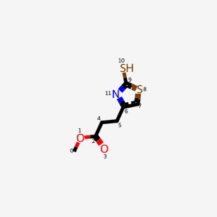 COC(=O)CCc1csc(S)n1